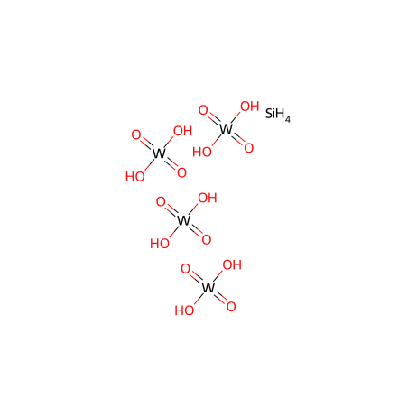 [O]=[W](=[O])([OH])[OH].[O]=[W](=[O])([OH])[OH].[O]=[W](=[O])([OH])[OH].[O]=[W](=[O])([OH])[OH].[SiH4]